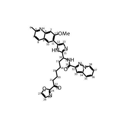 COc1cc2nc(C)ccc2cc1-c1cnc(C(CCCCCC(=O)c2ncco2)NC(=O)c2cc3ccccn3n2)[nH]1